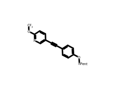 CCCCCOc1ccc(C#Cc2ccc(OC(F)(F)F)nc2)cc1